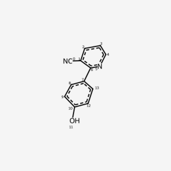 N#Cc1cccnc1-c1ccc(O)cc1